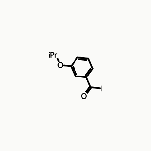 CC(C)Oc1cccc(C(=O)I)c1